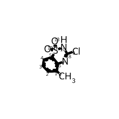 Cc1cccc2c1N=C(Cl)NS2(=O)=O